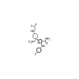 NCC1(n2cc(C(N)=O)c(Nc3ccc(F)cc3)n2)CCC(NCC(F)F)CC1